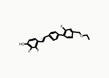 CCOCc1ccc(-c2ccc(/C=C/c3ccc(O)c(F)c3F)cc2)c(F)c1